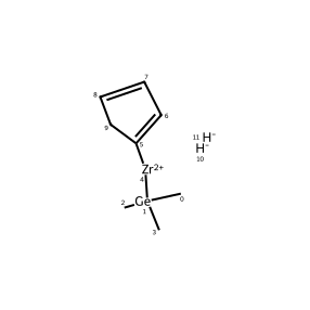 [CH3][Ge]([CH3])([CH3])[Zr+2][C]1=CC=CC1.[H-].[H-]